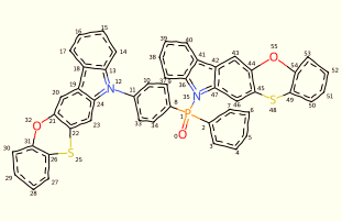 O=P(c1ccccc1)(c1ccc(-n2c3ccccc3c3cc4c(cc32)Sc2ccccc2O4)cc1)n1c2ccccc2c2cc3c(cc21)Sc1ccccc1O3